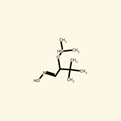 C[SiH](C)OC(/C=N/O)C(C)(C)C